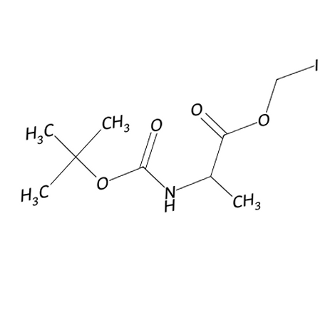 CC(NC(=O)OC(C)(C)C)C(=O)OCI